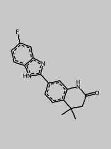 CC1(C)CC(=O)Nc2cc(-c3nc4cc(F)ccc4[nH]3)ccc21